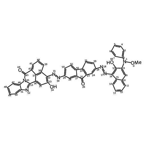 CON(c1ccccc1)c1cc2ccccc2c(N=Nc2ccc3c(c2)C(=O)c2cc(N=Nc4c(O)cc5c6c4cccc6c(=O)n4c6ccccc6nc54)ccc2-3)c1O